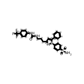 NS(=O)(=O)c1ccc(-n2nc(CCCNC(=O)Nc3ccc(C(F)(F)F)cc3)cc2-c2ccccc2)cc1